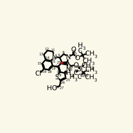 CC(C)(C)OC(=O)N1CC(N2CCCc3cc(Cl)cc(-c4ccnc5cc(CO)sc45)c32)C[C@@H]1CO[Si](C)(C)C(C)(C)C